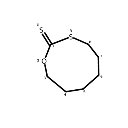 S=C1OCCCCCCS1